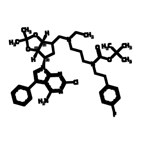 CCN(CCCN(CCc1ccc(F)cc1)C(=O)OC(C)(C)C)CC1C[C@@H](n2cc(-c3ccccc3)c3c(N)nc(Cl)nc32)[C@@H]2OC(C)(C)O[C@H]12